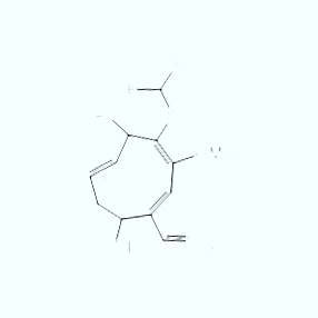 C=C/C1=C/C(OC)=C(/OC(F)F)C(CC)/C=C/CC1C